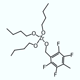 CCCC[O][Zr]([O]CCCC)([O]CCCC)[O]Cc1c(F)c(F)c(C)c(F)c1F